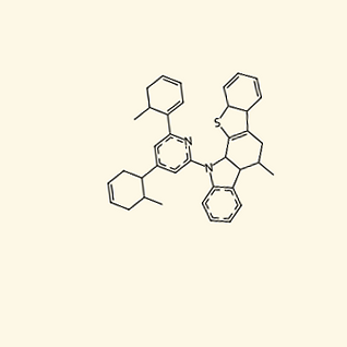 CC1CC=CC=C1c1cc(C2CC=CCC2C)cc(N2c3ccccc3C3C(C)CC4=C(SC5C=CC=CC45)C32)n1